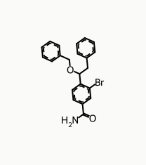 NC(=O)c1ccc(C(Cc2ccccc2)OCc2ccccc2)c(Br)c1